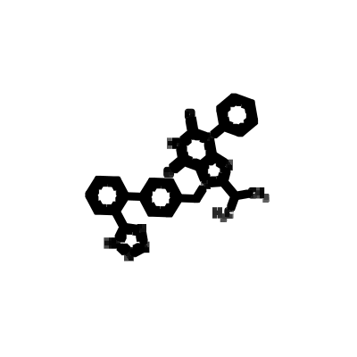 CC(C)c1nc2c(c(=O)[nH]c(=O)n2-c2ccccc2)n1Cc1ccc(-c2ccccc2-c2nnn[nH]2)cc1